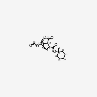 CC1(OC(=O)C2C3CC4C(OC(=O)C42)C3OC=O)CCCCC1